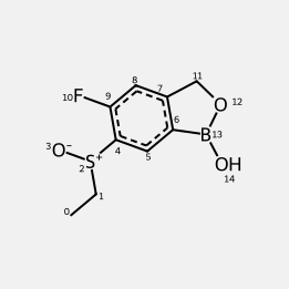 CC[S+]([O-])c1cc2c(cc1F)COB2O